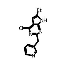 CCc1cc2c(Cl)nc(Cc3cccnc3)nc2[nH]1